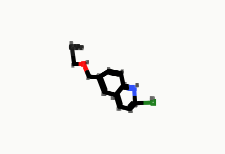 COCOCc1ccc2nc(Cl)ccc2c1